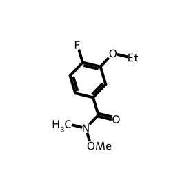 CCOc1cc(C(=O)N(C)OC)ccc1F